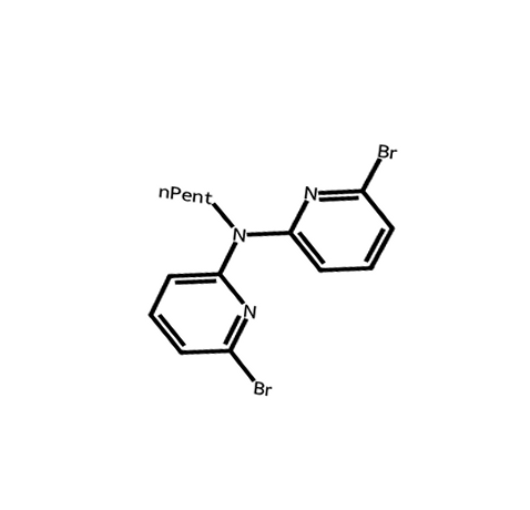 CCCCCN(c1cccc(Br)n1)c1cccc(Br)n1